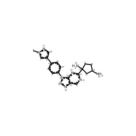 Cn1cc(-c2ccc(-n3nnc4cnc(C5(N)CCC(N)C5)nc43)cc2)cn1